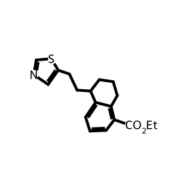 CCOC(=O)c1cccc2c1CCCC2CCc1cncs1